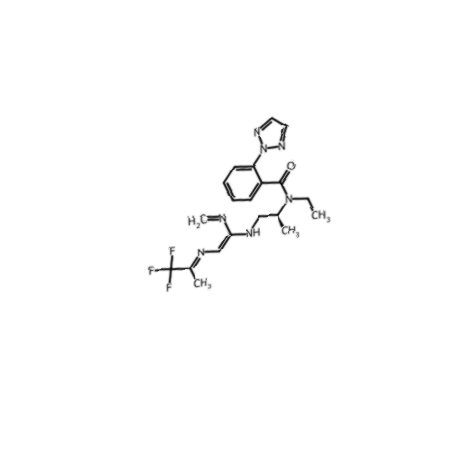 C=N/C(=C\N=C(/C)C(F)(F)F)NC[C@H](C)N(CC)C(=O)c1ccccc1-n1nccn1